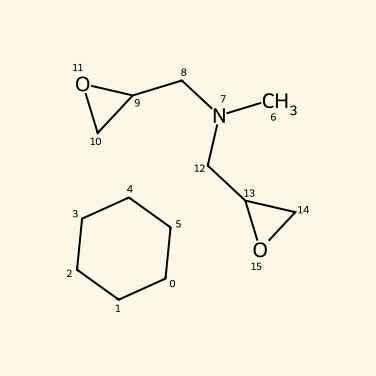 C1CCCCC1.CN(CC1CO1)CC1CO1